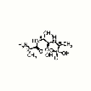 C[C@H](N)C(=O)N[C@@H](C)C(=O)N[C@@H](C)P(=O)(O)OO